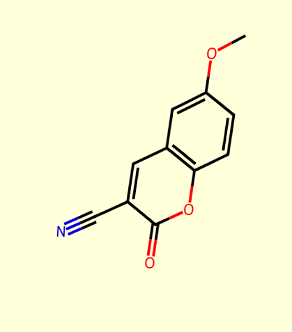 COc1ccc2oc(=O)c(C#N)cc2c1